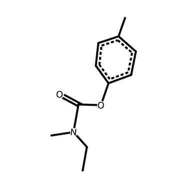 CCN(C)C(=O)Oc1ccc(C)cc1